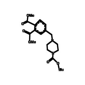 COC(=O)c1ccc(CN2CCN(C(=O)OC(C)(C)C)CC2)cc1C(=O)OC